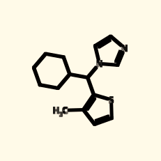 Cc1ccsc1C(C1CCCCC1)n1ccnc1